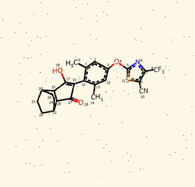 Cc1cc(Oc2nc(C(F)(F)F)c(C#N)s2)cc(C)c1C1=C(O)C2C3CCC(CC3)C2C1=O